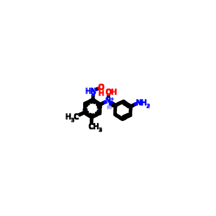 Cc1cc(NO)c(/[N+](O)=C2/C=C(N)C=CC2)cc1C